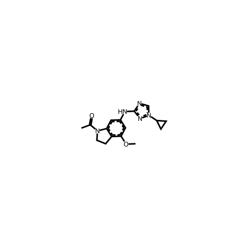 COc1cc(Nc2ncn(C3CC3)n2)cc2c1CCN2C(C)=O